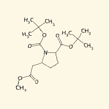 COC(=O)CC1CCC(C(=O)OC(C)(C)C)N1C(=O)OC(C)(C)C